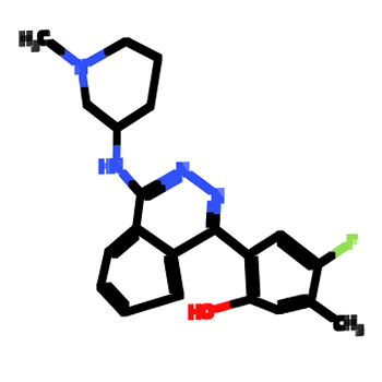 Cc1cc(O)c(-c2nnc(NC3CCCN(C)C3)c3ccccc23)cc1F